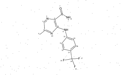 Cc1cnc(C(N)=O)c(Nc2ccc(C(F)(F)F)cc2)n1